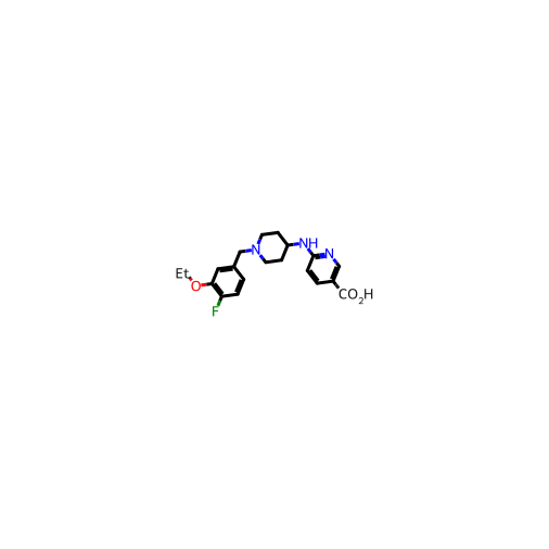 CCOc1cc(CN2CCC(Nc3ccc(C(=O)O)cn3)CC2)ccc1F